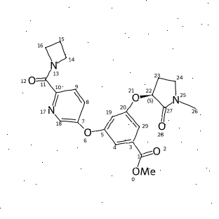 COC(=O)c1cc(Oc2ccc(C(=O)N3CCC3)nc2)cc(O[C@H]2CCN(C)C2=O)c1